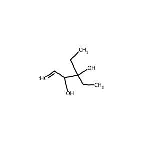 [CH]=CC(O)C(O)(CC)CC